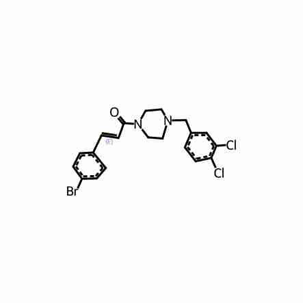 O=C(/C=C/c1ccc(Br)cc1)N1CCN(Cc2ccc(Cl)c(Cl)c2)CC1